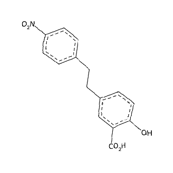 O=C(O)c1cc(CCc2ccc([N+](=O)[O-])cc2)ccc1O